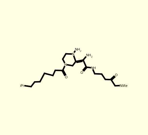 CNCC(=O)CCCNC(=O)/C(N)=C1\CN(C(=O)CCCCCCC(C)C)CCN1N